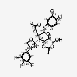 CC(=O)O[C@@H]1[C@H](C2=NN(c3cc(F)c(F)c(F)c3)CO2)[C@@H](OC(C)=O)C(Sc2ccc(Cl)c(Cl)c2)O[C@@H]1CO